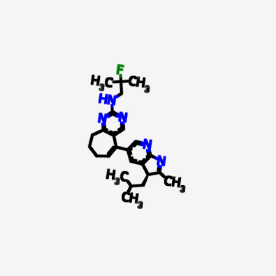 CC1=Nc2ncc(C3=CCCCc4nc(NCC(C)(C)F)ncc43)cc2[C@@H]1CC(C)C